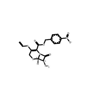 C=CSC1=C(C(=O)OCc2ccc([N+](=O)[O-])cc2)N2C(=O)[C@@H](N)[C@@H]2SC1